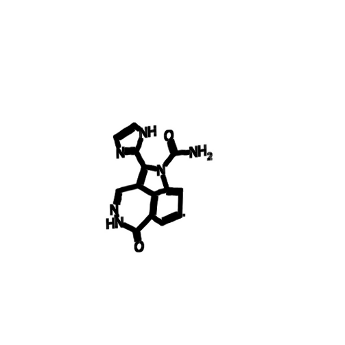 NC(=O)n1c(-c2ncc[nH]2)c2c3c(c[c]cc31)C(=O)NN=C2